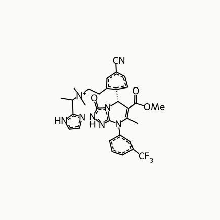 COC(=O)C1=C(C)N(c2cccc(C(F)(F)F)c2)c2n[nH]c(=O)n2[C@@H]1c1ccc(C#N)cc1CC[N+](C)(C)C(C)c1ncc[nH]1